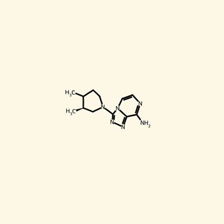 CC1CCN(c2nnc3c(N)nccn23)C[C@H]1C